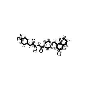 O=C(CC1CCC(F)(F)CC1)NCC(=O)N1CCN(Cc2cc(Cl)cc3cccnc23)CC1